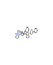 CCc1nc2ccccc2n1-c1ccc(C2=c3ccccc3=C(C3=CC=C(c4ccccc4)CC3)C3=CC=CCC32C)cc1